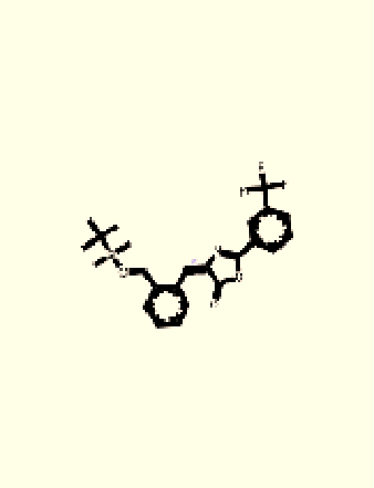 CC(C)(C)[Si](C)(C)OCc1ccccc1/C=C1/N=C(c2cccc(C(F)(F)F)c2)OC1=O